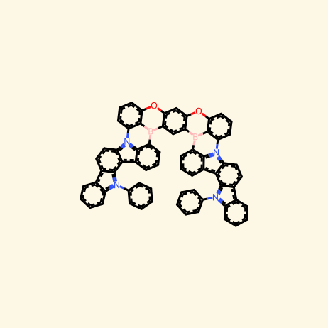 c1ccc(-n2c3ccccc3c3ccc4c(c5cccc6c5n4-c4cccc5c4B6c4cc6c(cc4O5)Oc4cccc5c4B6c4cccc6c7c(ccc8c9ccccc9n(-c9ccccc9)c87)n-5c46)c32)cc1